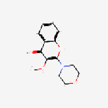 CCOc1c(N2CCOCC2)oc2ccccc2c1=O